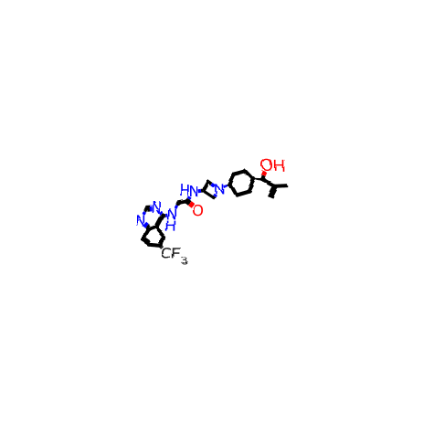 C=C(C)C(O)[C@H]1CC[C@@H](N2CC(NC(=O)CNc3ncnc4ccc(C(F)(F)F)cc34)C2)CC1